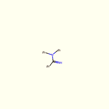 CC(C)C(=N)N(C(C)C)C(C)C